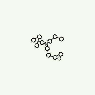 c1ccc(-c2cccc(-c3ccc(N(c4ccc(-c5cccc(-c6ccc7oc8ccccc8c7c6)c5)cc4)c4ccc(C5(c6ccccc6)c6ccccc6-c6ccccc65)cc4)cc3)c2)cc1